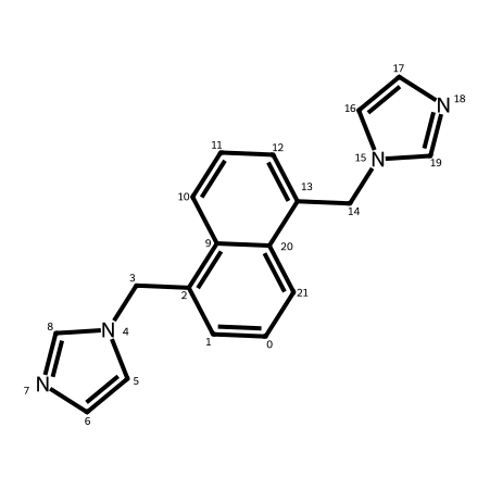 c1cc(Cn2ccnc2)c2cccc(Cn3ccnc3)c2c1